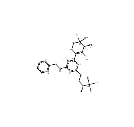 C[C@@H](CCc1nc(NCc2ccccn2)nc(C2=C(F)C(O)C(F)(F)CC2)n1)C(F)(F)F